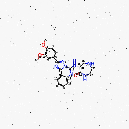 COc1ccc(-c2nc3c4ccccc4nc(N[C@@H]4CNCCNC4=O)n3n2)cc1OC